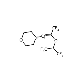 FC(F)(F)[C](OC(C(F)(F)F)C(F)(F)F)=[Cf][N]1CCOCC1